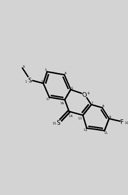 CSc1ccc2oc3cc(F)ccc3c(=S)c2c1